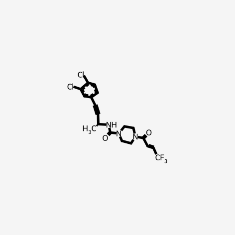 C[C@@H](C#Cc1ccc(Cl)c(Cl)c1)NC(=O)N1CCN(C(=O)/C=C/C(F)(F)F)CC1